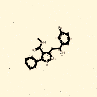 CNC(=O)c1c(-c2ccccc2)noc1CC(O)c1cccc(F)c1